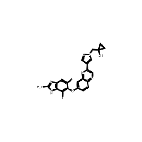 Cc1nc2cc(F)c(Oc3ccc4ncc(-c5cnn(CC6(O)CC6)c5)nc4c3)c(F)c2[nH]1